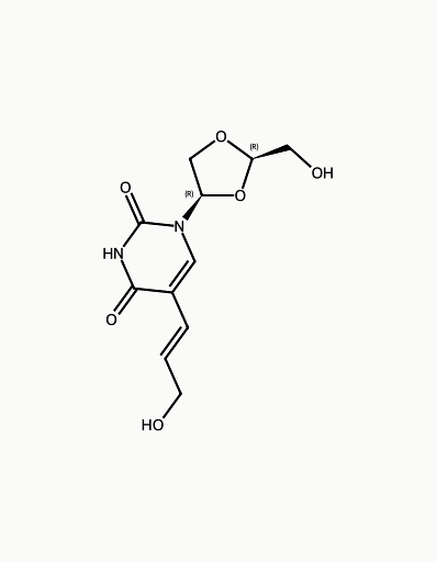 O=c1[nH]c(=O)n([C@H]2CO[C@@H](CO)O2)cc1C=CCO